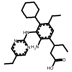 CCc1cnc(Nc2c(N)c(C(CC)CC(=O)O)cc(CC)c2C2CCCCC2)nc1